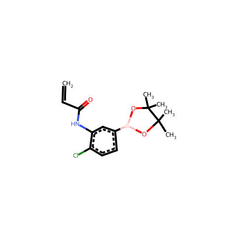 C=CC(=O)Nc1cc(B2OC(C)(C)C(C)(C)O2)ccc1Cl